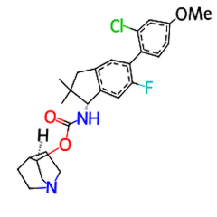 COc1ccc(-c2cc3c(cc2F)[C@H](NC(=O)O[C@H]2CN4CCC2CC4)C(C)(C)C3)c(Cl)c1